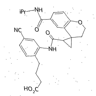 CC(C)NC(=O)c1ccc2c(c1)C1(CCO2)CC1C(=O)Nc1cc(C#N)ccc1CCCC(=O)O